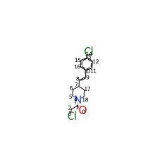 O=C(CCl)N1CCC(C=Cc2ccc(Cl)cc2)CC1